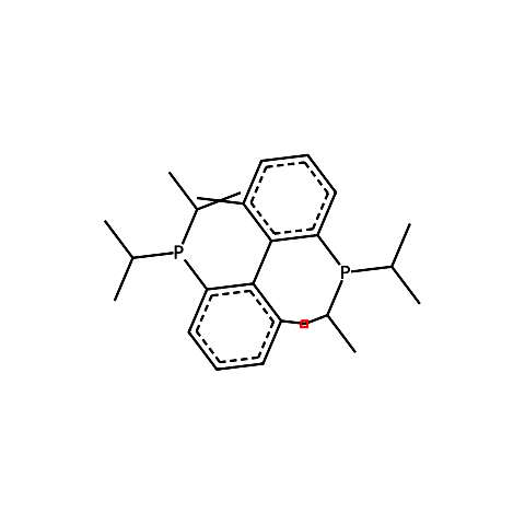 Cc1cccc(P(C(C)C)C(C)C)c1-c1c(C)cccc1P(C(C)C)C(C)C